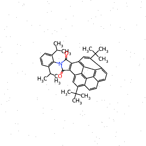 CC(C)c1cccc(C(C)C)c1-n1c(=O)c2c3cc(C(C)(C)C)c4ccc5ccc6c(C(C)(C)C)cc(c2c1=O)c1c6c5c4c31